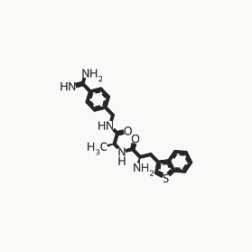 C[C@H](NC(=O)[C@H](N)Cc1csc2ccccc12)C(=O)NCc1ccc(C(=N)N)cc1